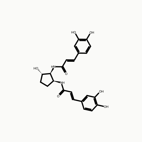 O=C(C=Cc1ccc(O)c(O)c1)N[C@H]1[C@@H](NC(=O)C=Cc2ccc(O)c(O)c2)CC[C@@H]1O